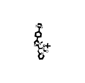 Cn1c(-c2ccc(-c3nccs3)cc2)cnc1[C@H](Cc1ccccn1)N(C=O)OC(C)(C)C